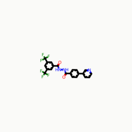 O=C(NNC(=O)c1cc(C(F)(F)F)cc(C(F)(F)F)c1)c1ccc(-c2cccnc2)cc1